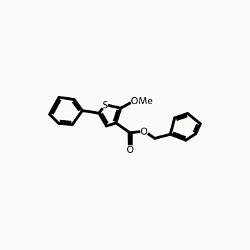 COc1sc(-c2ccccc2)cc1C(=O)OCc1ccccc1